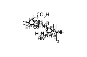 CCc1c(Cl)cc(CCC(=O)O)c(NC(=O)CNC(=O)c2cc(NC(=N)N)cc(NC(=N)N)c2)c1Cl